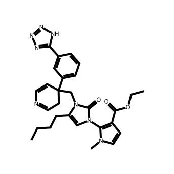 CCCCc1cn(-c2c(C(=O)OCC)ccn2C)c(=O)n1CC1(c2cccc(-c3nnn[nH]3)c2)C=CN=CC1